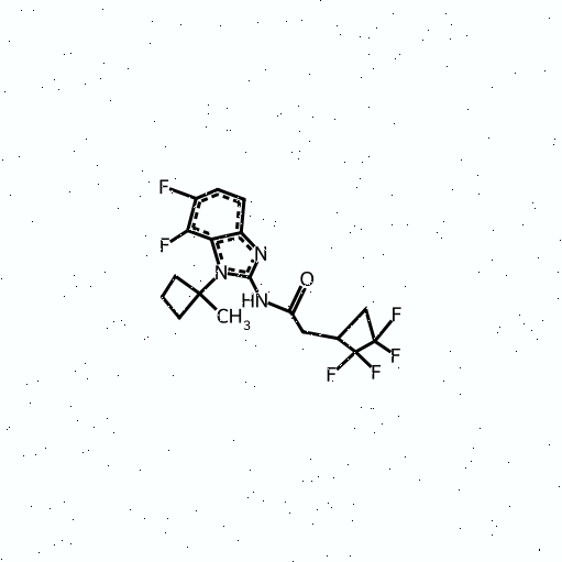 CC1(n2c(NC(=O)CC3CC(F)(F)C3(F)F)nc3ccc(F)c(F)c32)CCC1